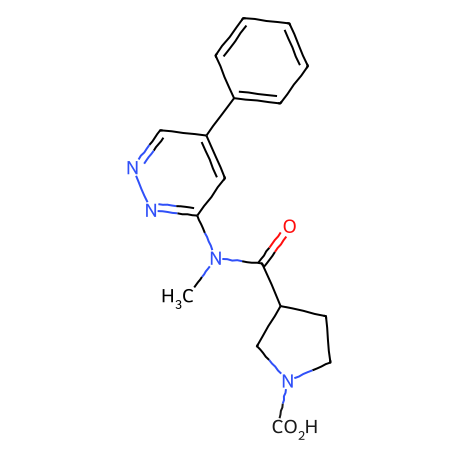 CN(C(=O)C1CCN(C(=O)O)C1)c1cc(-c2ccccc2)cnn1